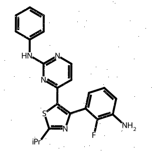 CC(C)c1nc(-c2cccc(N)c2F)c(-c2ccnc(Nc3ccccc3)n2)s1